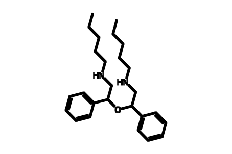 CCCCCNCC(OC(CNCCCCC)c1ccccc1)c1ccccc1